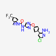 Cc1cc(C(F)(F)F)ccc1NC(=O)Nc1cnc(Oc2ccc(-c3cc(Cl)cnc3N)cc2)nc1